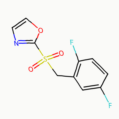 O=S(=O)(Cc1cc(F)ccc1F)c1ncco1